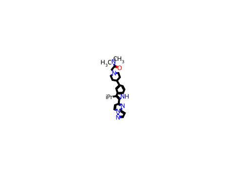 CC(C)c1c(-c2ccn3nccc3n2)[nH]c2ccc(C3CCN(CC(=O)N(C)C)CC3)cc12